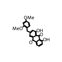 COc1ccc(Cc2cc(O)c3c(c2)C(=O)c2cccc(O)c2C3=O)c(OC)c1